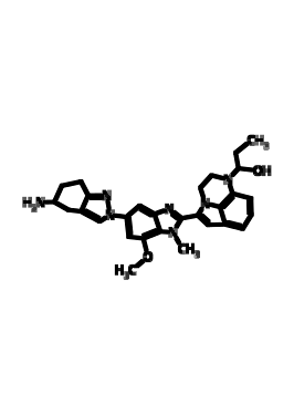 CCC(O)N1CCn2c(-c3nc4cc(-n5cc6c(n5)CCC(N)C6)cc(OC)c4n3C)cc3cccc1c32